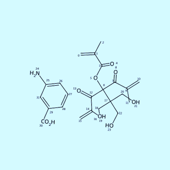 C=C(C)C(=O)OC(C(=O)C(=C)C)(C(=O)C(=C)C)C(CO)(CO)CO.Nc1cccc(C(=O)O)c1